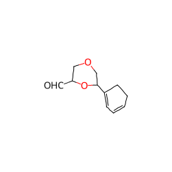 O=CC1COCC(C2=CC=CCC2)O1